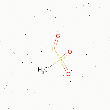 CS(=O)(=O)P=O